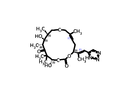 C/C1=C/C[C@@H](/C(C)=C/c2cnn[nH]2)OC(=O)C[C@H](O)C(C)(C)C(=O)[C@H](C)[C@@H](O)[C@@H](C)CCC1